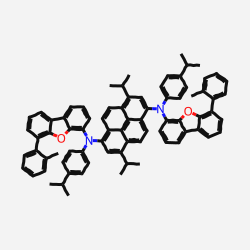 Cc1ccccc1-c1cccc2c1oc1c(N(c3ccc(C(C)C)cc3)c3cc(C(C)C)c4ccc5c(N(c6ccc(C(C)C)cc6)c6cccc7c6oc6c(-c8ccccc8C)cccc67)cc(C(C)C)c6ccc3c4c65)cccc12